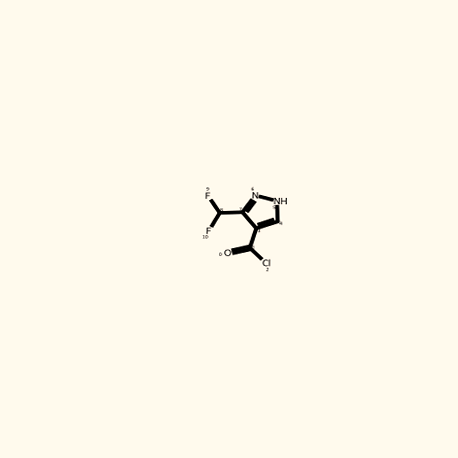 O=C(Cl)c1c[nH]nc1C(F)F